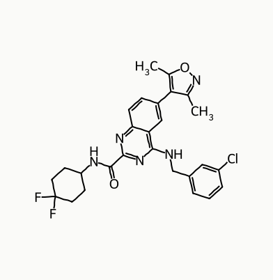 Cc1noc(C)c1-c1ccc2nc(C(=O)NC3CCC(F)(F)CC3)nc(NCc3cccc(Cl)c3)c2c1